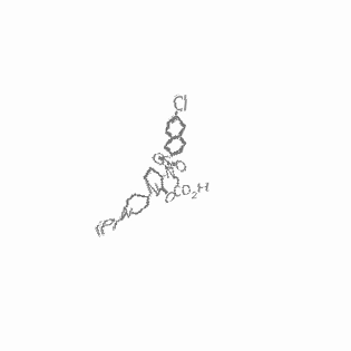 CC(C)N1CCC(N2CC[C@H](N(CC(=O)O)S(=O)(=O)c3ccc4cc(Cl)ccc4c3)C2=O)CC1